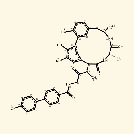 C[C@@H]1NC(=O)[C@@H](N(C)C(=O)CNC(=O)c2ccc(-c3ccc(Cl)cc3)cc2)c2cc(C#N)c(O)c(c2)-c2cc(ccc2O)C[C@@H](C(=O)O)NC1=O